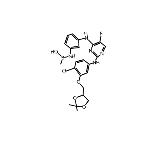 CB(O)Nc1cccc(Nc2nc(Nc3ccc(Cl)c(OCC4COC(C)(C)O4)c3)ncc2F)c1